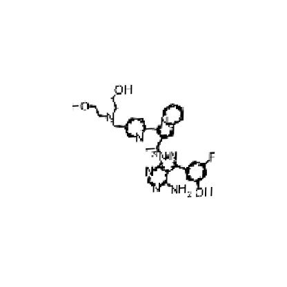 C[C@@H](c1cc2ccccn2c1-c1ccc(CN(CCO)CCO)cn1)n1nc(-c2cc(O)cc(F)c2)c2c(N)ncnc21